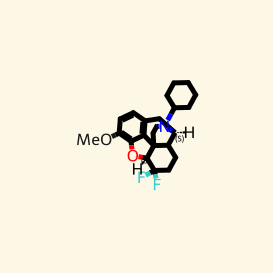 COc1ccc2c3c1O[C@@H]1C(F)(F)CCC4[C@H](C2)N(C2CCCCC2)CCC341